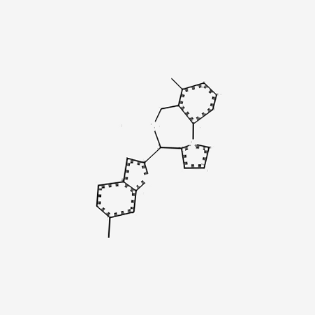 Cc1ccc2cc(C3NCc4c(C)cccc4-n4cccc43)oc2c1.Cl